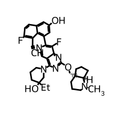 C#Cc1c(F)ccc2cc(O)cc(-c3ncc4c(N5CCCC(O)(CC)C5)nc(OC[C@]56CCC[C@H]5N(C)CCC6)nc4c3F)c12